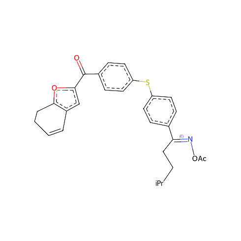 CC(=O)O/N=C(\CCC(C)C)c1ccc(Sc2ccc(C(=O)c3cc4c(o3)CCC=C4)cc2)cc1